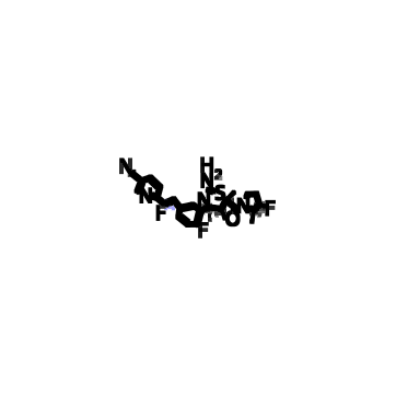 C[C@@H]1[C@H](F)CCN1C(=O)[C@@]1(C)SC(N)=N[C@](C)(c2cc(/C=C(\F)c3ccc(C#N)cn3)ccc2F)[C@@H]1C